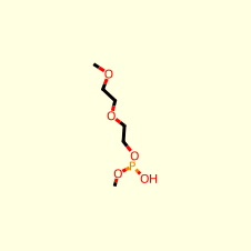 COCCOCCOP(O)OC